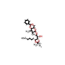 CCCCCCCCCCCCCC[C@H]1OC(C)(C)O[C@H]1[C@@H](O)COC1OC2COC(c3ccccc3)OC2C(C)C1C